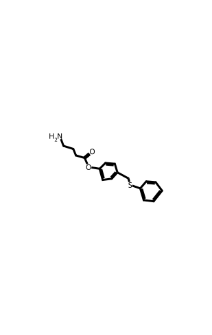 NCCCC(=O)Oc1ccc(CSc2ccccc2)cc1